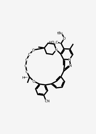 Cc1cn2nc3cc2c(c1[C@H](OC(C)(C)C)C(=O)O)N1CCC(C)(CC1)OCCCC[C@H](C)Oc1ccc(C#N)cc1-c1cccc-3c1